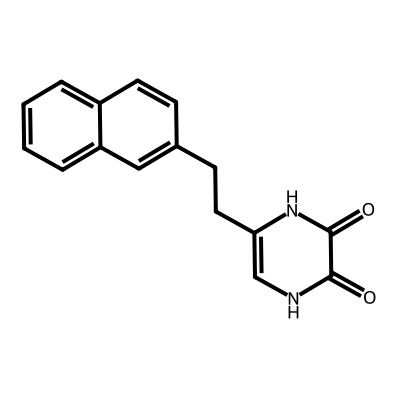 O=c1[nH]cc(CCc2ccc3ccccc3c2)[nH]c1=O